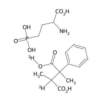 NC(CCP(=O)(O)O)C(=O)O.[2H]OC(=O)C(C)(c1ccccc1)C([2H])(C)C(=O)O